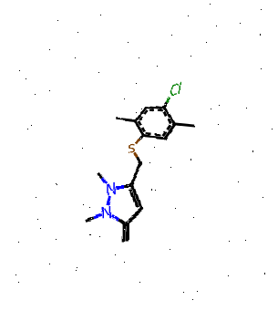 C=C1C=C(CSc2cc(C)c(Cl)cc2C)N(C)N1C